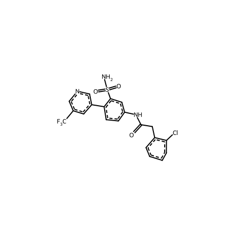 NS(=O)(=O)c1cc(NC(=O)Cc2ccccc2Cl)ccc1-c1cncc(C(F)(F)F)c1